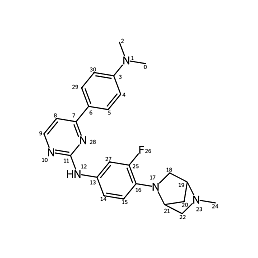 CN(C)c1ccc(-c2ccnc(Nc3ccc(N4CC5CC4CN5C)c(F)c3)n2)cc1